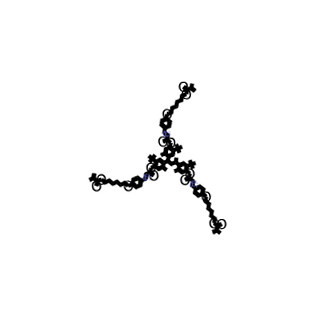 C=C(C)C(=O)OCCCCCCOc1ccc(/C=C/C(=O)Oc2cc(C)c(C(C)CC(c3cc(C(C)(C)C)c(OC(=O)/C=C/c4ccc(OCCCCCCOC(=O)C(=C)C)cc4)cc3C)c3cc(C(C)(C)C)c(OC(=O)/C=C/c4ccc(OCCCCCCOC(=O)C(=C)C)cc4)cc3C)cc2C(C)(C)C)cc1